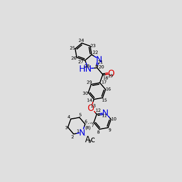 CC(=O)N1CCCC[C@@H]1c1cccnc1Oc1ccc(C(=O)c2nc3ccccc3[nH]2)cc1